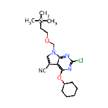 C[Si](C)(C)CCOCn1cc(C#N)c2c(OC3CCCCC3)nc(Cl)nc21